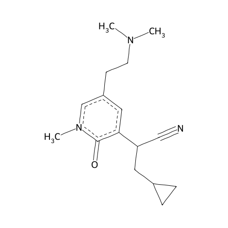 CN(C)CCc1cc(C(C#N)CC2CC2)c(=O)n(C)c1